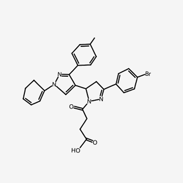 Cc1ccc(-c2nn(C3=CC=CCC3)cc2C2CC(c3ccc(Br)cc3)=NN2C(=O)CCC(=O)O)cc1